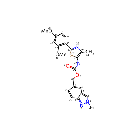 CCn1cc2cc(COC(=O)Nc3sc(-c4ccc(OC)cc4OC)nc3C)ccc2n1